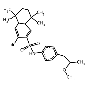 COC(C)Cc1ccc(NS(=O)(=O)C2=CC3C(C=C2Br)C(C)(C)CCC3(C)C)cc1